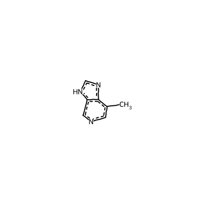 Cc1cncc2[nH]cnc12